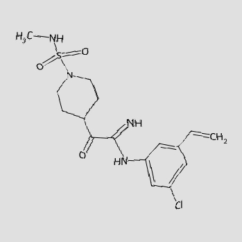 C=Cc1cc(Cl)cc(NC(=N)C(=O)C2CCN(S(=O)(=O)NC)CC2)c1